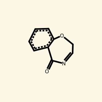 O=C1N=CCOc2ccccc21